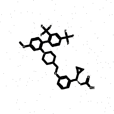 COc1ccc(-c2ccc(C(F)(F)F)cc2C(F)(F)F)c(N2CCC(COc3cccc([C@@H](CC(=O)O)C4CC4)c3)CC2)c1